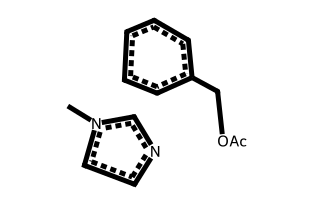 CC(=O)OCc1ccccc1.Cn1ccnc1